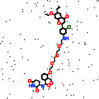 C=Cc1cc2c(=O)cc(-c3ccc(NCCOCCOCCOCCOc4cccc(C(=O)N(C)C5CCC(=O)NC5=O)c4C=O)cc3Cl)oc2cc1OCC